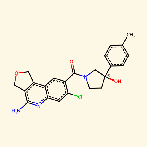 Cc1ccc([C@]2(O)CCN(C(=O)c3cc4c5c(c(N)nc4cc3Cl)COC5)C2)cc1